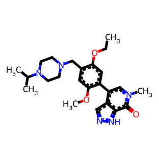 CCOc1cc(-c2cn(C)c(=O)c3[nH]ncc23)c(OC)cc1CN1CCN(C(C)C)CC1